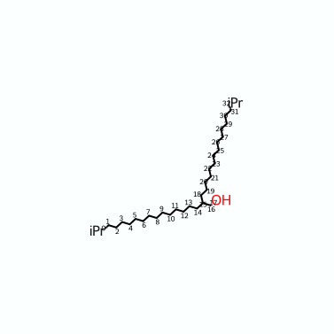 CC(C)CCCCCCCCCCCCCCC(CO)CCCCCCCCCCCCCCC(C)C